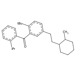 CC(C)c1ccccc1C(=O)c1cc(CCC2CCCCC2C)ccc1C(C)(C)C